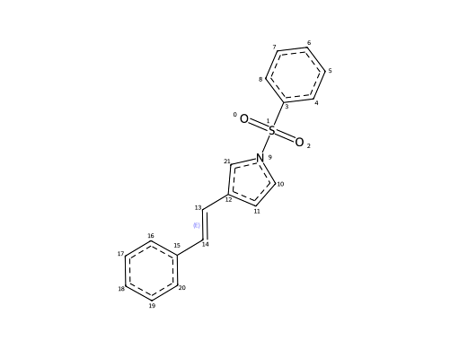 O=S(=O)(c1ccccc1)n1ccc(/C=C/c2ccccc2)c1